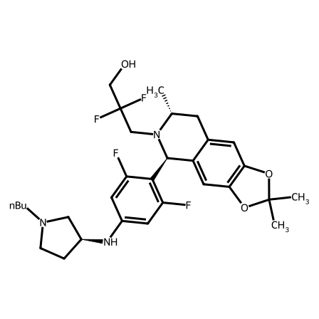 CCCCN1CC[C@H](Nc2cc(F)c([C@@H]3c4cc5c(cc4C[C@@H](C)N3CC(F)(F)CO)OC(C)(C)O5)c(F)c2)C1